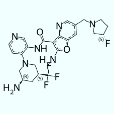 Nc1oc2cc(CN3CC[C@H](F)C3)cnc2c1C(=O)Nc1cnccc1N1C[C@H](N)C[C@H](C(F)(F)F)C1